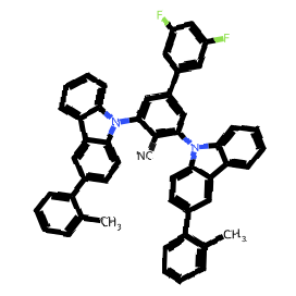 Cc1ccccc1-c1ccc2c(c1)c1ccccc1n2-c1cc(-c2cc(F)cc(F)c2)cc(-n2c3ccccc3c3cc(-c4ccccc4C)ccc32)c1C#N